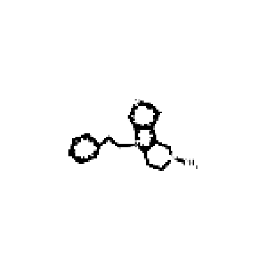 CN1CCc2c(c3ccncc3n2CCc2ccccc2)C1